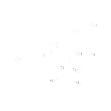 C=C(C1=CN2C(C)=C(C)NC2C(NCc2c(C)ccc(C)c2C)=C1)N1CC(CO)C1